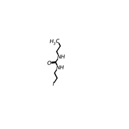 CCCNC(=O)NCCI